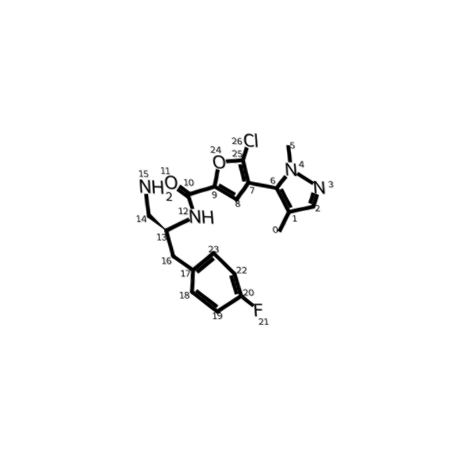 Cc1cnn(C)c1-c1cc(C(=O)N[C@H](CN)Cc2ccc(F)cc2)oc1Cl